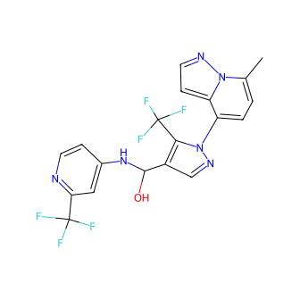 Cc1ccc(-n2ncc(C(O)Nc3ccnc(C(F)(F)F)c3)c2C(F)(F)F)c2ccnn12